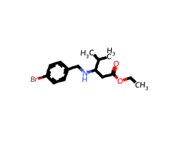 CCOC(=O)CC(NCc1ccc(Br)cc1)C(C)C